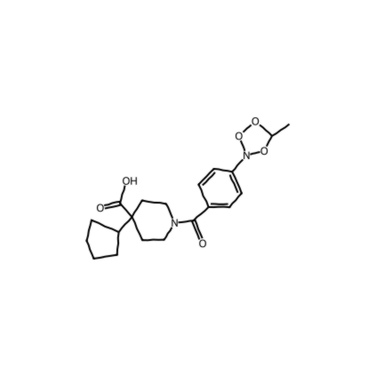 CC1OON(c2ccc(C(=O)N3CCC(C(=O)O)(C4CCCC4)CC3)cc2)O1